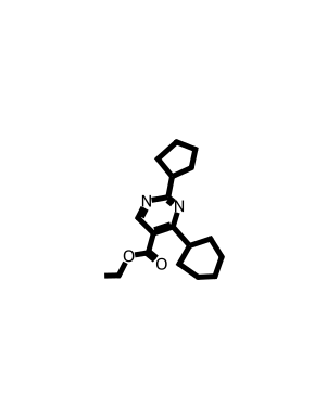 CCOC(=O)c1cnc(C2CCCC2)nc1C1CCCCC1